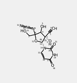 C#C[C@]1(O)C(O)C(CO)(N=[N+]=[N-])O[C@H]1n1ccc(=O)[nH]c1=O